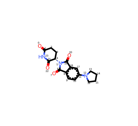 O=C1CC[C@H](N2C(=O)c3ccc(N4CCCC4)cc3C2=O)C(=O)N1